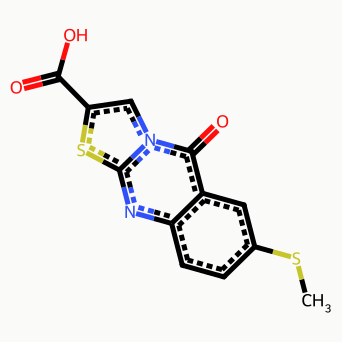 CSc1ccc2nc3sc(C(=O)O)cn3c(=O)c2c1